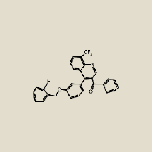 O=C(c1ccccc1)c1cnc2c(C(F)(F)F)cccc2c1-c1cccc(OCc2ccccc2F)c1